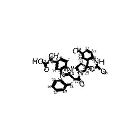 CN(C(=O)O)c1ccc2[nH]c([C@@H](Cc3ccccc3)C(=O)N3CC[C@]4(C3)OC(=O)Nc3ccc(Cl)cc34)nc2c1